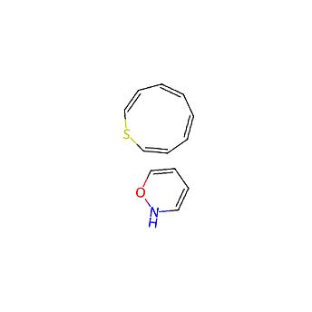 C1=CNOC=C1.c1ccccsccc1